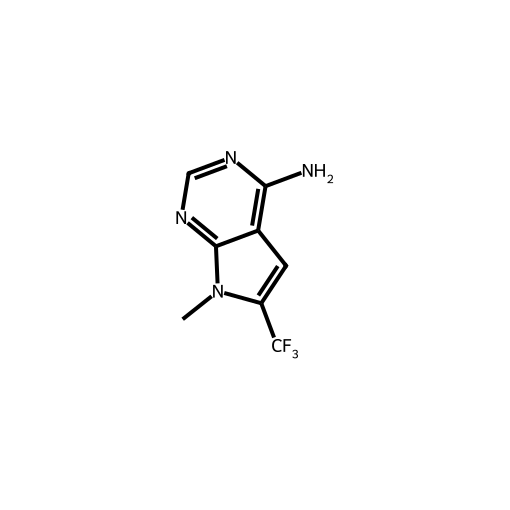 Cn1c(C(F)(F)F)cc2c(N)ncnc21